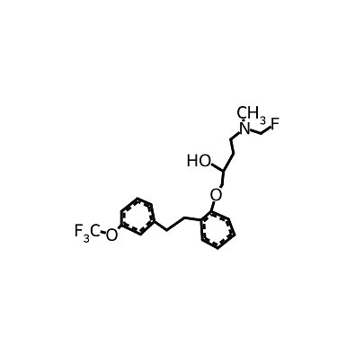 CN(CF)CCC(O)COc1ccccc1CCc1cccc(OC(F)(F)F)c1